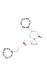 O=C(N[C@@H]1[C@@H](c2ccccc2)NC(=O)C12CC2)OCc1ccccc1